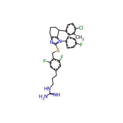 Cc1cc(C2CCCc3nc(SCc4c(F)cc(CCCNC(=N)N)cc4F)n(-c4ccc(F)cc4)c32)ccc1Cl